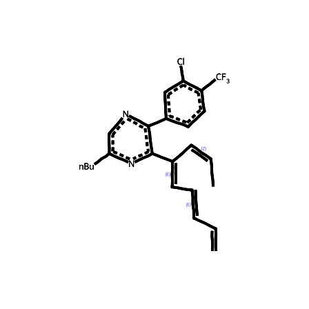 C=C/C=C/C=C(\C=C/C)c1nc(CCCC)cnc1-c1ccc(C(F)(F)F)c(Cl)c1